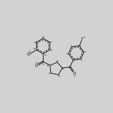 O=C(c1ccc(F)cc1)C1CCN(C(=O)c2ccccc2Cl)C1